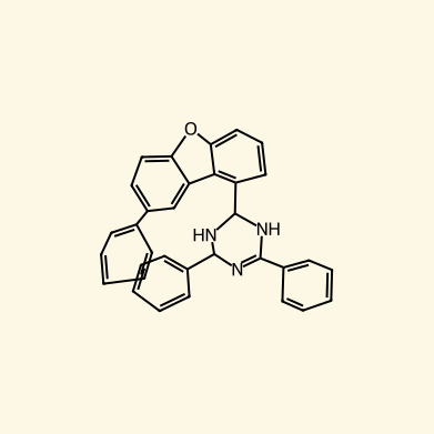 c1ccc(C2=NC(c3ccccc3)NC(c3cccc4oc5ccc(-c6ccccc6)cc5c34)N2)cc1